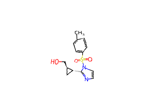 Cc1ccc(S(=O)(=O)n2ccnc2[C@@H]2C[C@H]2CO)cc1